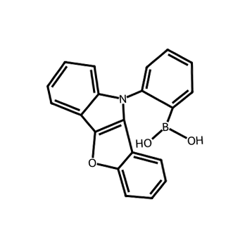 OB(O)c1ccccc1-n1c2ccccc2c2oc3ccccc3c21